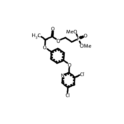 COP(=O)(CCOC(=O)C(C)Oc1ccc(Oc2ncc(Cl)cc2Cl)cc1)OC